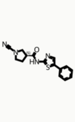 N#CN1CC[C@H](C(=O)Nc2ncc(-c3ccccc3)s2)C1